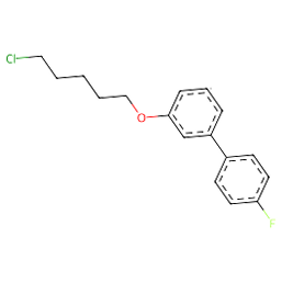 Fc1ccc(-c2c[c]cc(OCCCCCCl)c2)cc1